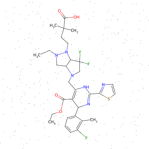 CCOC(=O)C1=C(CN2CC(F)(F)C3C2CN(CC)N3CCC(C)(C)C(=O)O)NC(c2nccs2)=NC1c1cccc(F)c1C